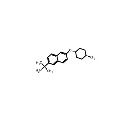 [CH2][C@](C)(N)c1ccc2cc(O[C@H]3CC[C@H](C(F)(F)F)CC3)ccc2c1